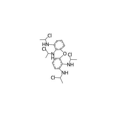 CC(Cl)Nc1cccc(Oc2cccc(NC(C)Cl)c2NC(C)Cl)c1NC(C)Cl